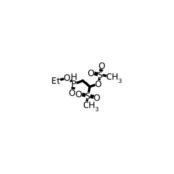 CCO[PH](=O)CC(OS(C)(=O)=O)S(C)(=O)=O